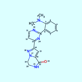 CN(C)c1ccccc1-c1nccc(-c2cc3n(n2)CCNC3=O)n1